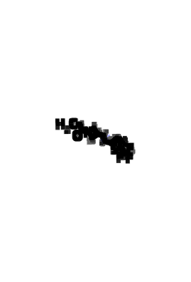 C=CC(=O)N1CC(/C=C/c2cnc(C(F)(F)F)s2)C1